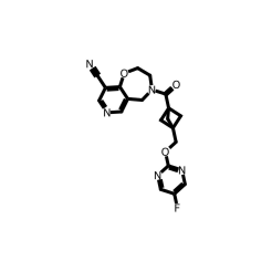 N#Cc1cncc2c1OCCN(C(=O)C13CC(COc4ncc(F)cn4)(C1)C3)C2